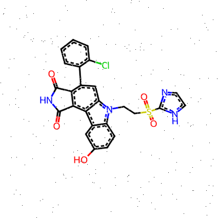 O=C1NC(=O)c2c1c(-c1ccccc1Cl)cc1c2c2cc(O)ccc2n1CCS(=O)(=O)c1ncc[nH]1